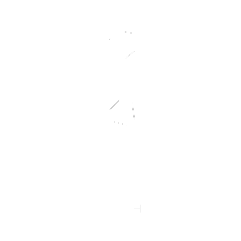 CCCC1CCC(c2ccc(CCC3=CC=CC(F)(F)C3(F)F)cc2)CC1